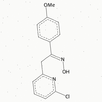 COc1ccc(C(Cc2cccc(Cl)n2)=NO)cc1